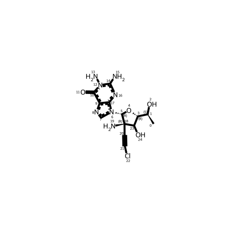 C[C@H](O)[C@H]1O[C@@H](n2cnc3c(=O)n(N)c(N)nc32)[C@@](N)(C#CCl)C1O